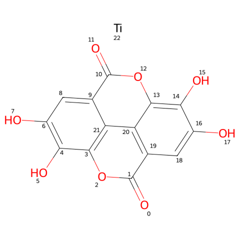 O=c1oc2c(O)c(O)cc3c(=O)oc4c(O)c(O)cc1c4c23.[Ti]